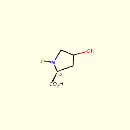 O=C(O)[C@@H]1CC(O)CN1F